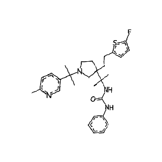 Cc1ccc(C(C)(C)N2CCC(CCc3ccc(F)s3)(C(C)(C)NC(=O)Nc3ccccc3)C2)cn1